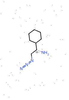 [N-]=[N+]=NC[C@@H](N)C1CCCCC1